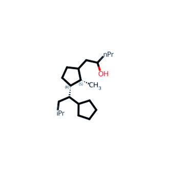 CCCC(O)CC1CC[C@@H](C(CC(C)C)C2CCCC2)[C@H]1C